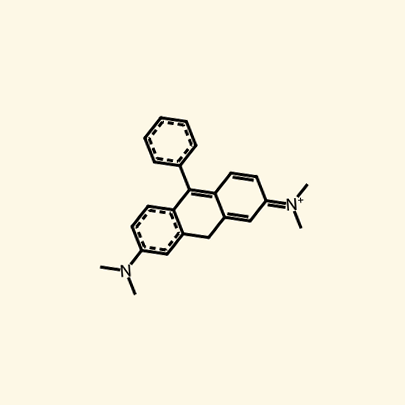 CN(C)c1ccc2c(c1)CC1=CC(=[N+](C)C)C=CC1=C2c1ccccc1